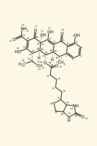 C[C@H]1c2cccc(O)c2C(=O)C2=C(O)[C@]3(O)C(=O)C(C(N)=O)=C(O)[C@@H](N(C)C)[C@@H]3[C@@H](OC(=O)CCCCC3SCC4NC(=O)NC43)[C@@H]21